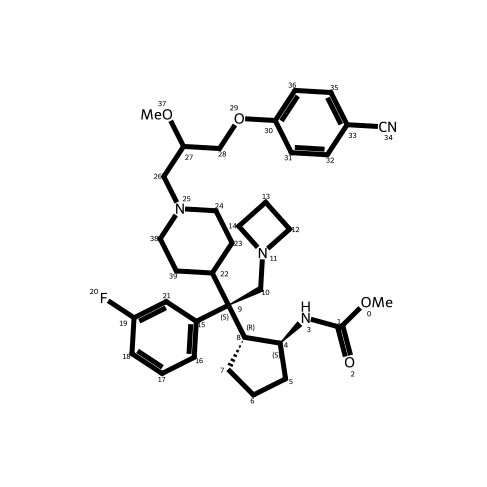 COC(=O)N[C@H]1CCC[C@@H]1[C@](CN1CCC1)(c1cccc(F)c1)C1CCN(CC(COc2ccc(C#N)cc2)OC)CC1